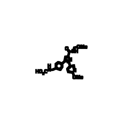 COCNC(=O)c1cc(-c2ccc(CNC(=O)O)cc2)n(-c2ccc(OC)nc2)n1